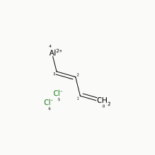 C=CC=[CH][Al+2].[Cl-].[Cl-]